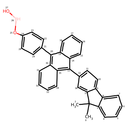 CC1(C)c2ccccc2-c2ccc(-c3c4ccccc4c(-c4ccc(OBO)cc4)c4ccccc34)cc21